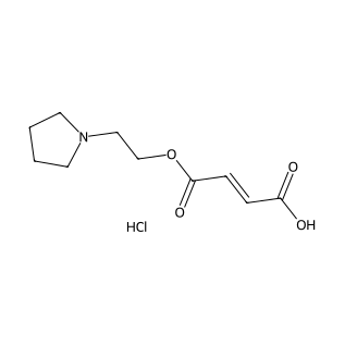 Cl.O=C(O)C=CC(=O)OCCN1CCCC1